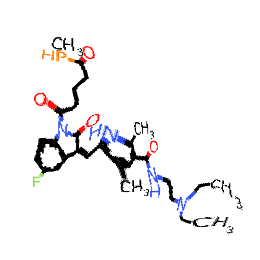 CCN(CC)CCNC(=O)c1c(C)[nH]c(/C=C2\C(=O)N(C(=O)CCCC(=O)PC)c3ccc(F)cc32)c1C